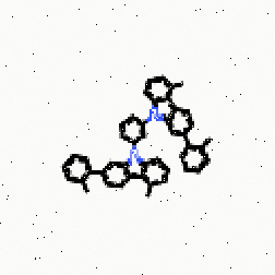 Cc1ccccc1-c1ccc2c3c(C)cccc3n(-c3cccc(-n4c5cc(-c6ccccc6C)ccc5c5c(C)cccc54)c3)c2c1